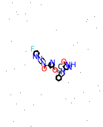 Cc1c(N2Cc3ccccc3[C@@H]2COc2cncc(C(=O)N3CCN(c4ccc(F)cn4)CC3)c2)cn[nH]c1=O